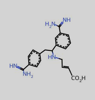 N=C(N)c1ccc(CC(NCC=CC(=O)O)c2cccc(C(=N)N)c2)cc1